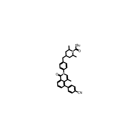 Cc1cn(-c2ccc(CC3CC(C)N(C(=O)C(C)(C)C)C(C)C3)cc2)c(=O)c2cccc(-c3ccc(C#N)cc3)c12